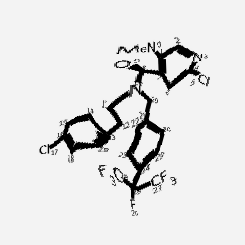 CNc1cnc(Cl)cc1C(=O)N(CCc1ccc(Cl)cc1)Cc1ccc(C(F)(C(F)(F)F)C(F)(F)F)cc1